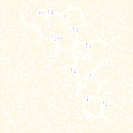 CCn1c(N2CCC[C@@H](N)C2)c(C(=O)NCCOC)c2c1c(=O)n(Cc1nccc(C)n1)c(=O)n2C